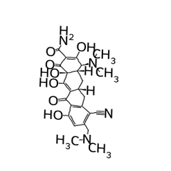 CN(C)Cc1cc(O)c2c(c1C#N)C[C@H]1C[C@H]3[C@H](N(C)C)C(O)=C(C(N)=O)C(=O)[C@@]3(O)C(O)=C1C2=O